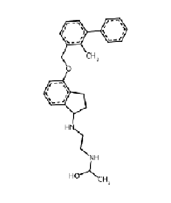 Cc1c(COc2cccc3c2CCC3NCCNC(C)O)cccc1-c1ccccc1